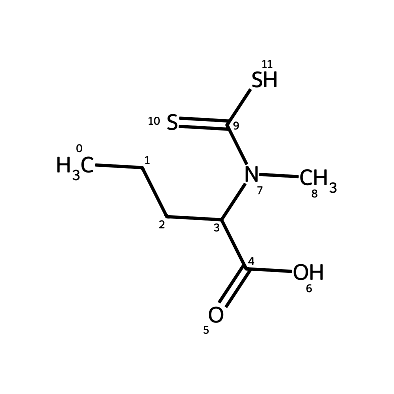 CCCC(C(=O)O)N(C)C(=S)S